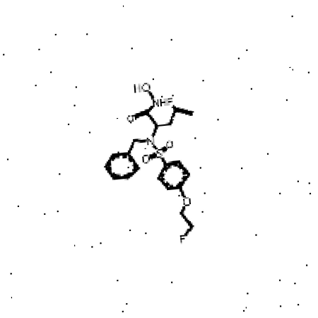 C=C(F)C[C@H](C(=O)NO)N(Cc1ccccc1)S(=O)(=O)c1ccc(OCCF)cc1